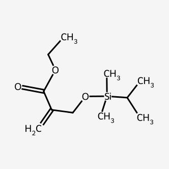 C=C(CO[Si](C)(C)C(C)C)C(=O)OCC